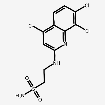 NS(=O)(=O)CCNc1cc(Cl)c2ccc(Cl)c(Cl)c2n1